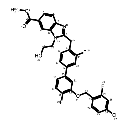 COC(=O)c1ccc2nc(Cc3ccc(-c4ccc(F)c(OCc5ccc(Cl)cc5F)c4)cc3F)n(CCO)c2c1